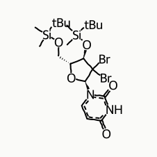 CC(C)(C)[Si](C)(C)OC[C@H]1O[C@H](n2ccc(=O)[nH]c2=O)C(Br)(Br)[C@@H]1O[Si](C)(C)C(C)(C)C